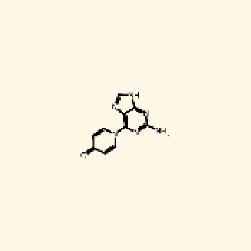 Nc1nc(-n2ccc(=O)cc2)c2nc[nH]c2n1